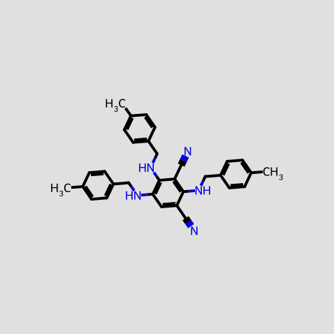 Cc1ccc(CNc2cc(C#N)c(NCc3ccc(C)cc3)c(C#N)c2NCc2ccc(C)cc2)cc1